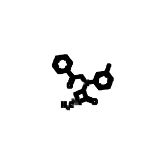 C.Cc1cccc(N(CC(=O)c2ccccc2)C2CNC2=O)c1